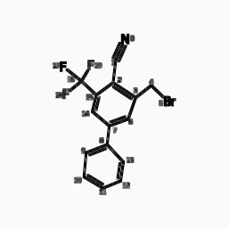 N#Cc1c(CBr)cc(-c2ccccc2)cc1C(F)(F)F